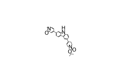 CC(C)OC(=O)N1CC=C(c2ccc3[nH]c4cc(-c5ccn(C)c(=O)c5)ccc4c3c2)CC1